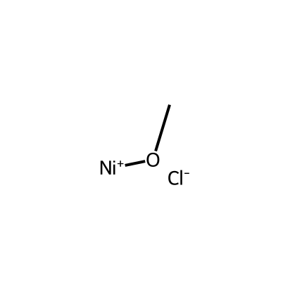 C[O][Ni+].[Cl-]